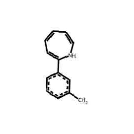 Cc1cccc(C2=CC=CC=CN2)c1